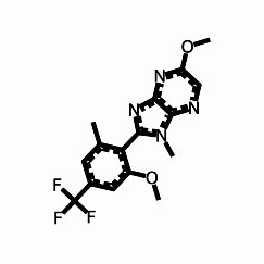 COc1cnc2c(n1)nc(-c1c(C)cc(C(F)(F)F)cc1OC)n2C